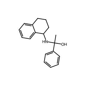 CC(O)(NC1CCCc2ccccc21)c1ccccc1